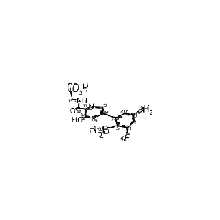 Bc1cc(F)c(B)c(-c2cnc(C(=O)NCC(=O)O)c(O)c2)c1